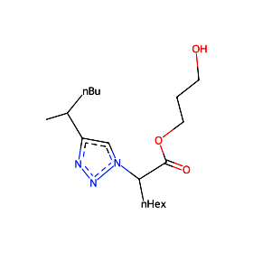 CCCCCCC(C(=O)OCCCO)n1cc(C(C)CCCC)nn1